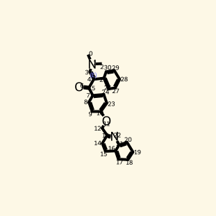 CN(C)/C=C(/C(=O)c1ccc(OCc2ccc3ccccc3n2)cc1)c1ccccc1